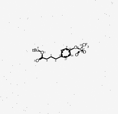 CC(C)(C)OC(=O)CCCc1ccc(OS(=O)(=O)C(F)(F)F)cc1